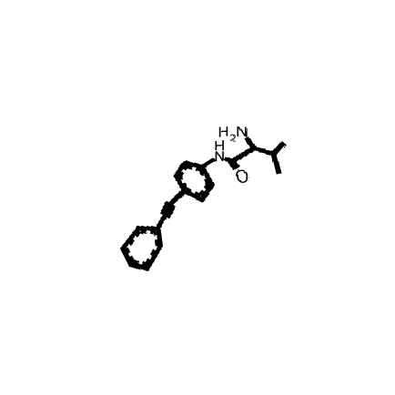 CC(C)C(N)C(=O)Nc1ccc(C#Cc2ccccc2)cc1